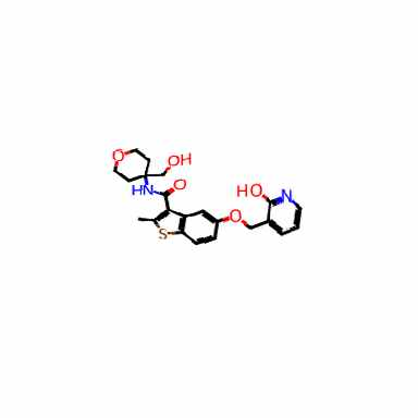 Cc1sc2ccc(OCc3cccnc3O)cc2c1C(=O)NC1(CO)CCOCC1